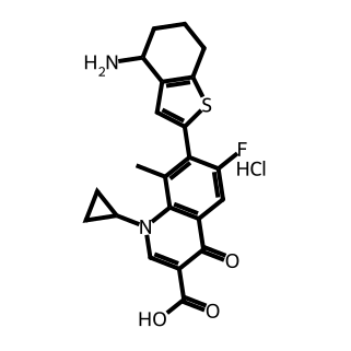 Cc1c(-c2cc3c(s2)CCCC3N)c(F)cc2c(=O)c(C(=O)O)cn(C3CC3)c12.Cl